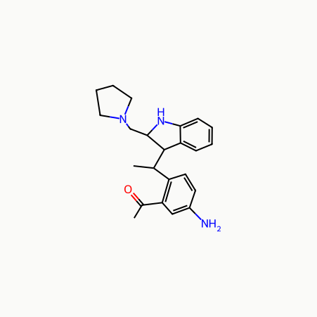 CC(=O)c1cc(N)ccc1C(C)C1c2ccccc2NC1CN1CCCC1